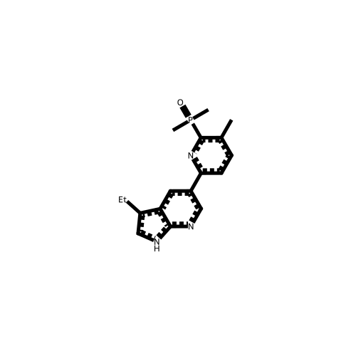 CCc1c[nH]c2ncc(-c3ccc(C)c(P(C)(C)=O)n3)cc12